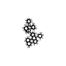 c1ccc(-c2c3ccccc3c(-c3cccc4ccccc34)c3cc(-c4nc5cccc6c5n4-c4ccccc4N6c4ccccc4)ccc23)cc1